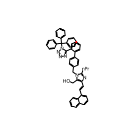 CCCc1nc(C=Cc2cccc3ccccc23)c(CO)n1Cc1ccc(-c2ccccc2-c2nnnn2C(c2ccccc2)(c2ccccc2)c2ccccc2)cc1